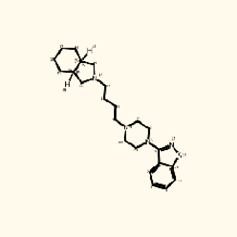 c1ccc2c(N3CCN(CCCCN4C[C@H]5CCCC[C@H]5C4)CC3)nsc2c1